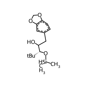 C[SiH](C)O[C@@H](C(O)Cc1ccc2c(c1)OCO2)C(C)(C)C